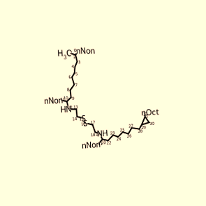 CCCCCCCCCC(C)CCCCCCCC(CCCCCCCCC)NCCSSCCNC(CCCCCCCCC)CCCCCCCC1CC1CCCCCCCC